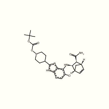 CC(C)(C)OC(=O)ON1CCC(c2nc3c(N[C@H]4[C@@H](C(N)=O)[C@@H]5C=C[C@H]4C5)c(Cl)cnc3[nH]2)CC1